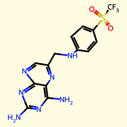 Nc1nc(N)c2nc(CNc3ccc(S(=O)(=O)C(F)(F)F)cc3)cnc2n1